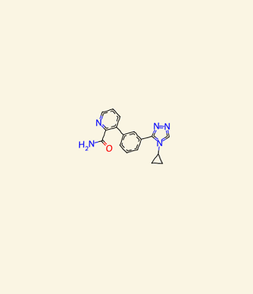 NC(=O)c1ncccc1-c1cccc(-c2nncn2C2CC2)c1